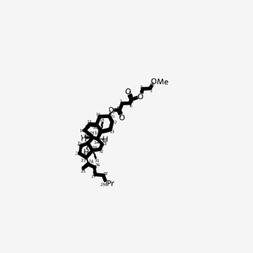 COCCOC(=O)CCC(=O)O[C@H]1CC[C@@]2(C)C(=CC[C@H]3[C@@H]4CC[C@H](C(C)CCCC(C)C)[C@@]4(C)CC[C@@H]32)C1